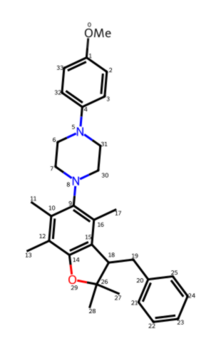 COc1ccc(N2CCN(c3c(C)c(C)c4c(c3C)C(Cc3ccccc3)C(C)(C)O4)CC2)cc1